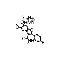 CNC(=O)c1c(-c2ccc(F)cc2)oc2cc(OC(C)c3nnn[nH]3)c(OC)cc12